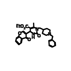 CCOC(=O)C1=C(C)N(CC2CCN(Cc3ccccc3)CC2)C(=O)NC1c1coc2ccccc2c1=O